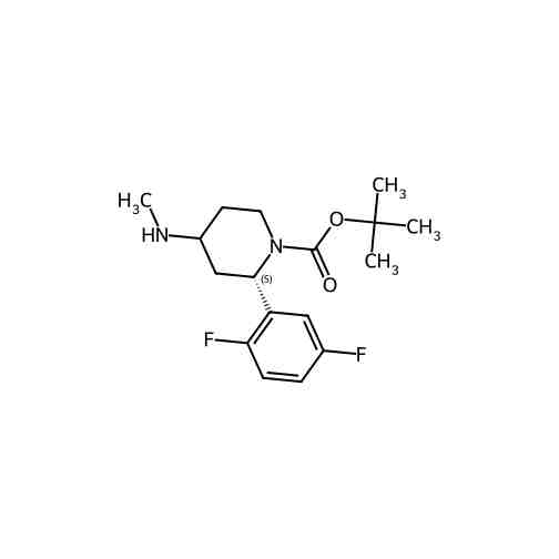 CNC1CCN(C(=O)OC(C)(C)C)[C@H](c2cc(F)ccc2F)C1